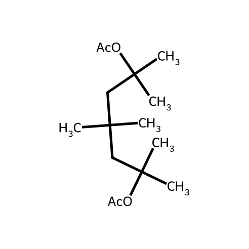 CC(=O)OC(C)(C)CC(C)(C)CC(C)(C)OC(C)=O